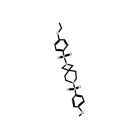 CCOc1ccc(S(=O)(=O)N2CC3(CCN(S(=O)(=O)c4ccc(OC)cc4)CC3)C2)cc1